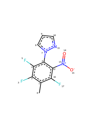 Cc1c(F)c(F)c(-n2cccn2)c([N+](=O)[O-])c1F